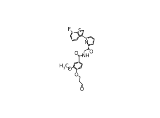 COc1cc(C(=O)NCC(=O)c2cccc(-c3csc4c(F)cccc34)n2)ccc1OCCC=O